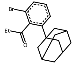 CCC(=O)c1c(Br)cccc1C12CC3CC(CC(C3)C1)C2